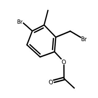 CC(=O)Oc1ccc(Br)c(C)c1CBr